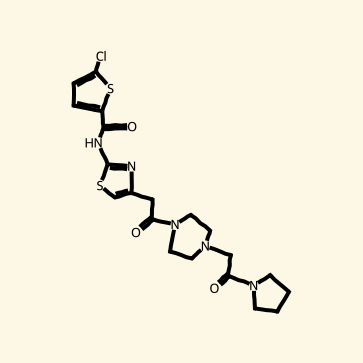 O=C(Nc1nc(CC(=O)N2CCN(CC(=O)N3CCCC3)CC2)cs1)c1ccc(Cl)s1